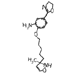 CC1(CCCCCOc2ccc(C3=NCCO3)cc2N)C=CON1